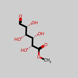 COC(=O)[C@H](O)[C@@H](O)[C@H](O)[C@@H](O)C=O